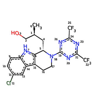 C[C@H](CO)C[C@H]1c2[nH]c3ccc(Cl)cc3c2CCN1c1nc(C(F)(F)F)nc(C(F)(F)F)n1